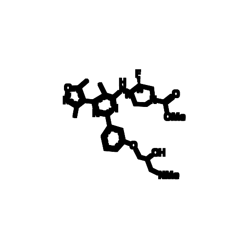 CNCC(O)COc1cccc(-c2nc(N[C@@H]3CCN(C(=O)OC)C[C@H]3F)c(C)c(-c3c(C)noc3C)n2)c1